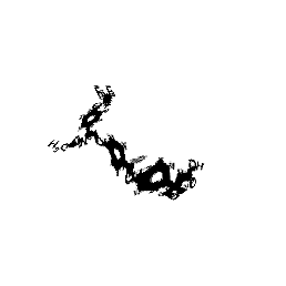 CON=C(COc1ccc(COc2ccc(C3(CC(=O)O)COC3)cc2)cc1)c1ccc(OC(F)(F)F)cc1